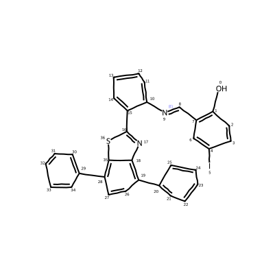 Oc1ccc(I)cc1/C=N/c1ccccc1-c1nc2c(-c3ccccc3)ccc(-c3ccccc3)c2s1